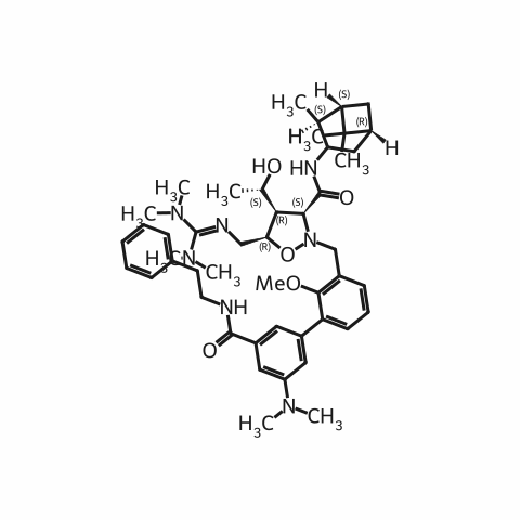 COc1c(CN2O[C@@H](CN=C(N(C)C)N(C)C)[C@@H]([C@H](C)O)[C@H]2C(=O)NC2C[C@H]3C[C@@H]([C@@H]2C)C3(C)C)cccc1-c1cc(C(=O)NCCc2ccccc2)cc(N(C)C)c1